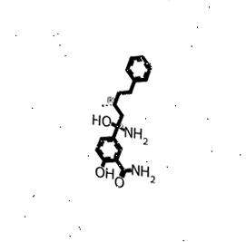 C[C@H](CCc1ccccc1)C[C@@](N)(O)c1ccc(O)c(C(N)=O)c1